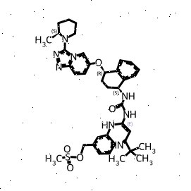 C[C@H]1CCCCN1c1nnc2ccc(O[C@@H]3CC[C@H](NC(=O)N/C(=C/C(=N)C(C)(C)C)Nc4cccc(COS(C)(=O)=O)c4)c4ccccc43)cn12